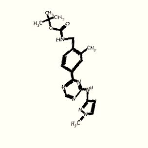 Cc1cc(-c2ncnc(Nc3ccn(C)n3)n2)ccc1CNC(=O)OC(C)(C)C